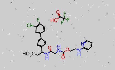 O=C(O)C(F)(F)F.O=C(O)CC(NC(=O)CNC(=O)OCCNc1ccccn1)c1ccc(-c2ccc(F)c(Cl)c2)cc1